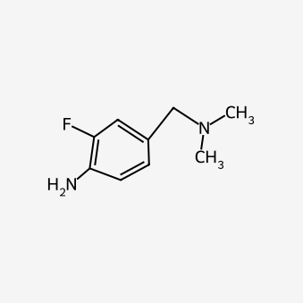 CN(C)Cc1ccc(N)c(F)c1